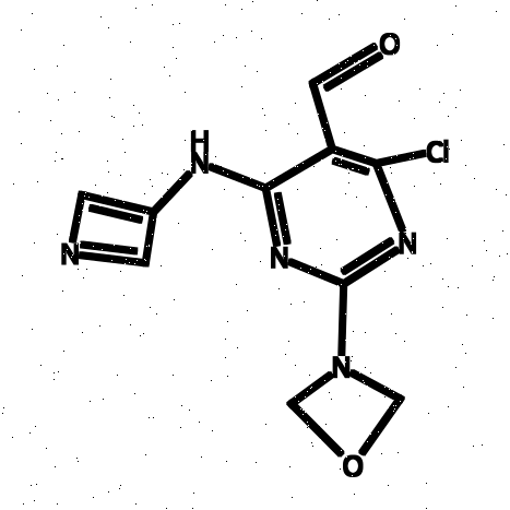 O=Cc1c(Cl)nc(N2COC2)nc1NC1=CN=C1